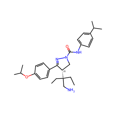 CCC(CC)(CN)[C@H]1CN(C(=O)Nc2ccc(C(C)C)cc2)N=C1c1ccc(OC(C)C)cc1